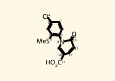 CSc1cc(Cl)ccc1-n1cc(C(=O)O)ccc1=O